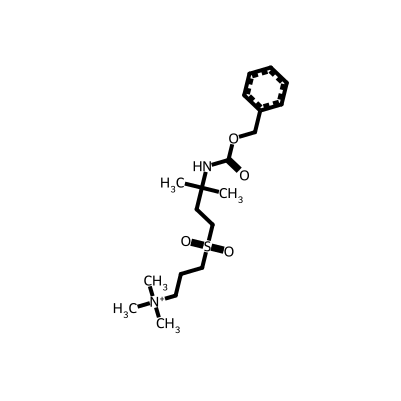 CC(C)(CCS(=O)(=O)CCC[N+](C)(C)C)NC(=O)OCc1ccccc1